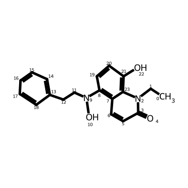 CCn1c(=O)ccc2c(N(O)CCc3ccccc3)ccc(O)c21